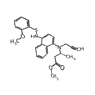 C#CCN(c1ccc(NSc2ccccc2OC)c2ccccc12)C(C)CC(=O)OC